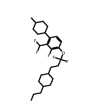 CCCC1CCC(CCC(F)(F)Oc2ccc(C3CCC(C)CC3)c(C(F)F)c2F)CC1